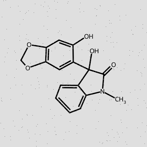 CN1C(=O)C(O)(c2cc3c(cc2O)OCO3)c2ccccc21